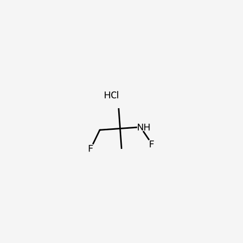 CC(C)(CF)NF.Cl